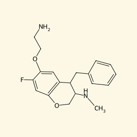 CNC1COc2cc(F)c(OCCN)cc2C1Cc1ccccc1